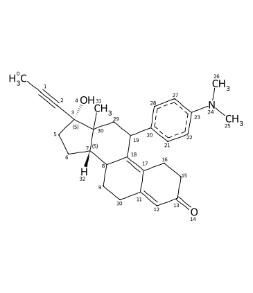 CC#C[C@]1(O)CC[C@H]2C3CCC4=CC(=O)CCC4=C3C(c3ccc(N(C)C)cc3)CC21C